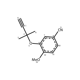 C#CC(C)(C)Oc1cc(C#N)ccc1OC